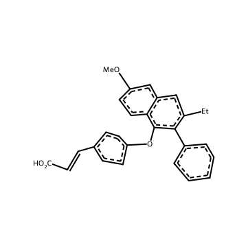 CCc1cc2cc(OC)ccc2c(Oc2ccc(C=CC(=O)O)cc2)c1-c1ccccc1